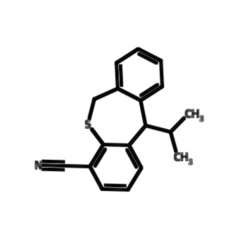 CC(C)C1c2ccccc2CSc2c(C#N)cccc21